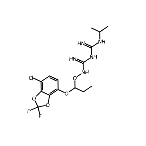 CCC(ONC(=N)NC(=N)NC(C)C)Oc1ccc(Cl)c2c1OC(F)(F)O2